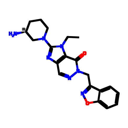 CCn1c(N2CCC[C@@H](N)C2)nc2cnn(Cc3noc4ccccc34)c(=O)c21